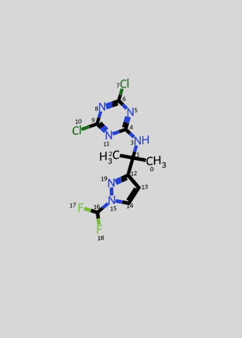 CC(C)(Nc1nc(Cl)nc(Cl)n1)c1ccn(C(F)F)n1